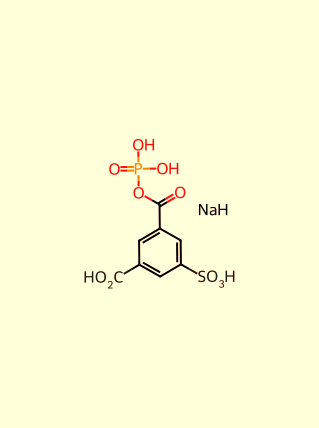 O=C(O)c1cc(C(=O)OP(=O)(O)O)cc(S(=O)(=O)O)c1.[NaH]